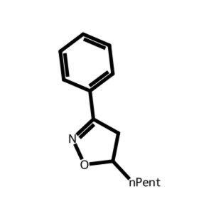 CCCCCC1CC(c2ccccc2)=NO1